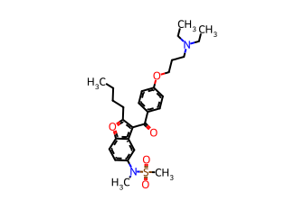 CCCCc1oc2ccc(N(C)S(C)(=O)=O)cc2c1C(=O)c1ccc(OCCCN(CC)CC)cc1